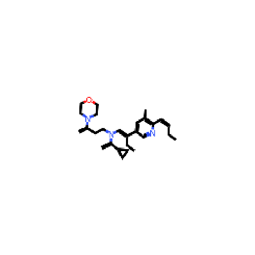 C=C(C1CC1)N(/C=C(\CC)c1cnc(/C=C\CC)c(C)c1)CCC(=C)N1CCOCC1